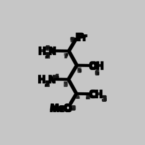 COC(C)C(N)C(O)C(N)C(C)C